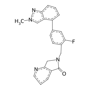 Cn1cc2c(-c3ccc(CN4Cc5ncccc5C4=O)c(F)c3)cccc2n1